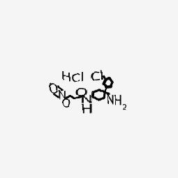 Cl.NCC1(c2cccc(Cl)c2)CCC(NC(=O)CCC(=O)N2CCOCC2)CC1